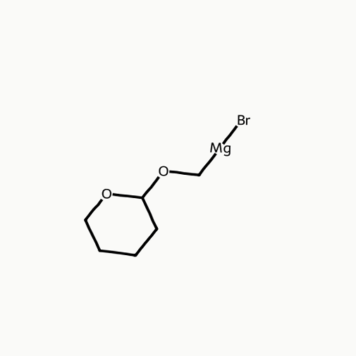 [Br][Mg][CH2]OC1CCCCO1